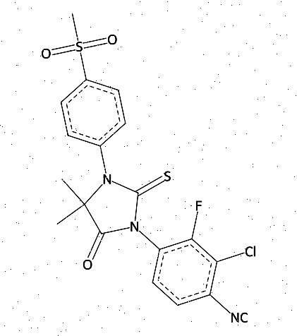 [C-]#[N+]c1ccc(N2C(=O)C(C)(C)N(c3ccc(S(C)(=O)=O)cc3)C2=S)c(F)c1Cl